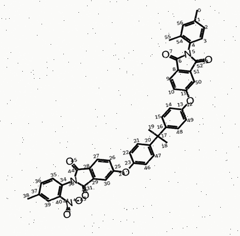 Cc1ccc(N2C(=O)c3ccc(Oc4ccc(C(C)(C)c5ccc(Oc6ccc7c(c6)C(=O)N(c6ccc(C)cc6[N+](=O)[O-])C7=O)cc5)cc4)cc3C2=O)c(C)c1